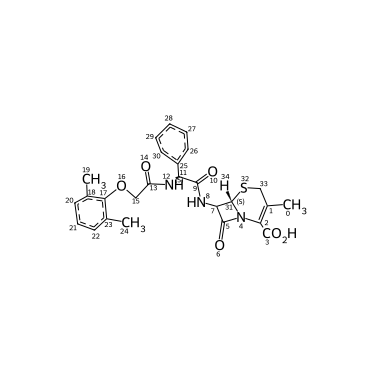 CC1=C(C(=O)O)N2C(=O)C(NC(=O)[C@@H](NC(=O)COc3c(C)cccc3C)c3ccccc3)[C@@H]2SC1